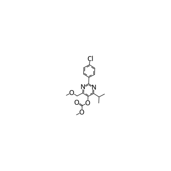 COCc1nc(-c2ccc(Cl)cc2)nc(C(C)C)c1OC(=O)OC